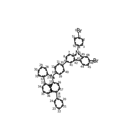 Brc1ccc(-n2c3ccc(-c4ccc(N(c5ccc(-c6ccccc6)cc5)c5ccccc5-c5ccccc5)cc4)cc3c3ccc(Br)cc32)cc1